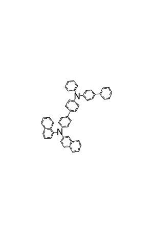 c1ccc(-c2ccc(N(c3ccccc3)c3ccc(-c4ccc(N(c5ccc6ccccc6c5)c5cccc6ccccc56)cc4)cc3)cc2)cc1